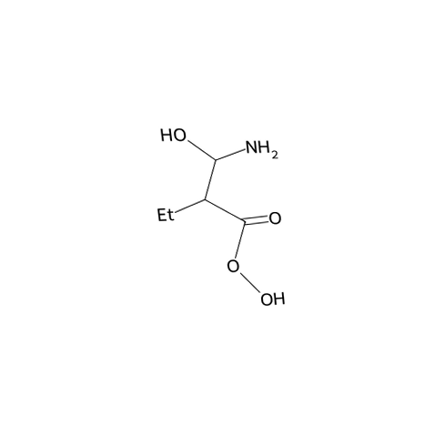 CCC(C(=O)OO)C(N)O